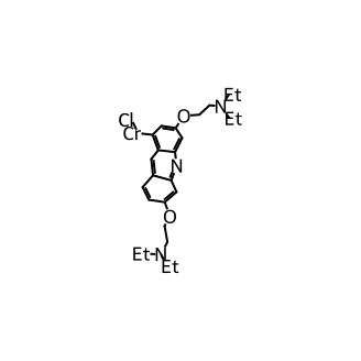 CCN(CC)CCOc1ccc2cc3[c]([Cr][Cl])cc(OCCN(CC)CC)cc3nc2c1